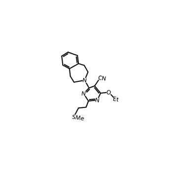 CCOc1nc(CCSC)nc(N2CCc3ccccc3CC2)c1C#N